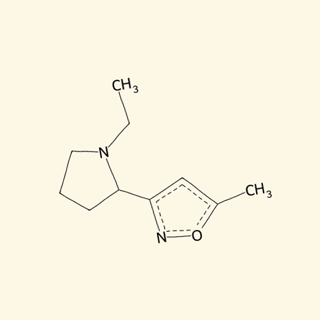 CCN1CCCC1c1cc(C)on1